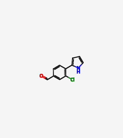 O=Cc1ccc(-c2ccc[nH]2)c(Cl)c1